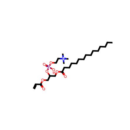 C=CC(=O)OCC(COC(=O)CCCCCCCCCCCCCC)OP(=O)(O)OCC[N+](C)(C)C